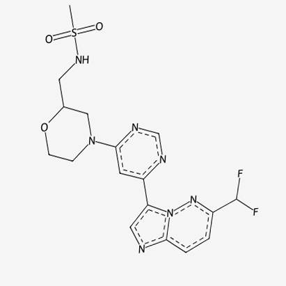 CS(=O)(=O)NCC1CN(c2cc(-c3cnc4ccc(C(F)F)nn34)ncn2)CCO1